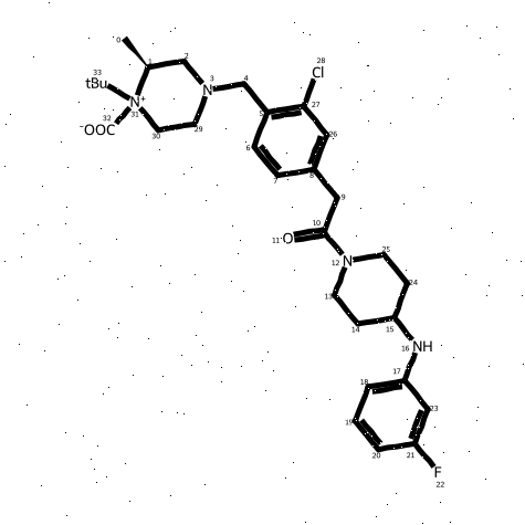 C[C@H]1CN(Cc2ccc(CC(=O)N3CCC(Nc4cccc(F)c4)CC3)cc2Cl)CC[N+]1(C(=O)[O-])C(C)(C)C